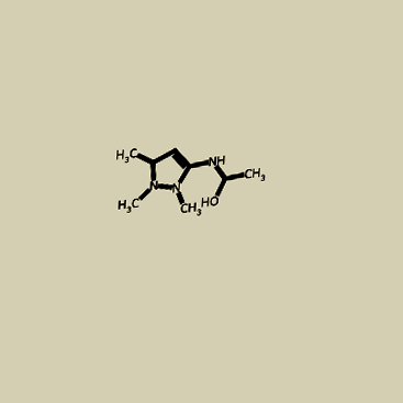 CC(O)NC1=CC(C)N(C)N1C